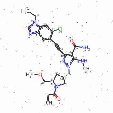 C=CC(=O)N1C[C@@H](Cn2nc(C#Cc3cc4ncn(CC)c4cc3Cl)c(C(N)=O)c2NC)C[C@@H]1COC